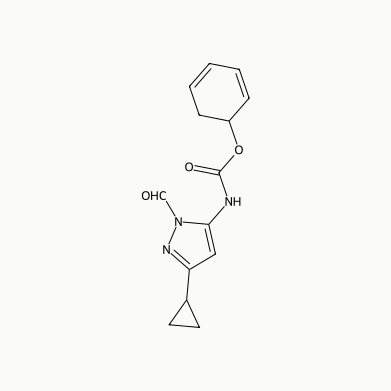 O=Cn1nc(C2CC2)cc1NC(=O)OC1C=CC=CC1